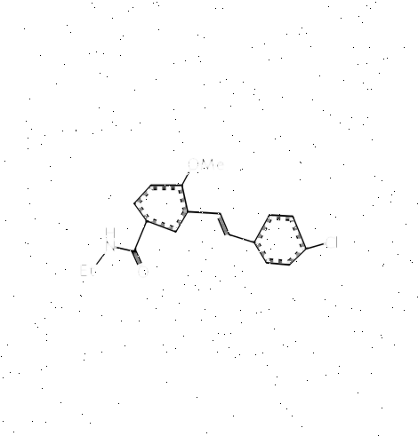 CCNC(=O)c1ccc(OC)c(C=Cc2ccc(Cl)cc2)c1